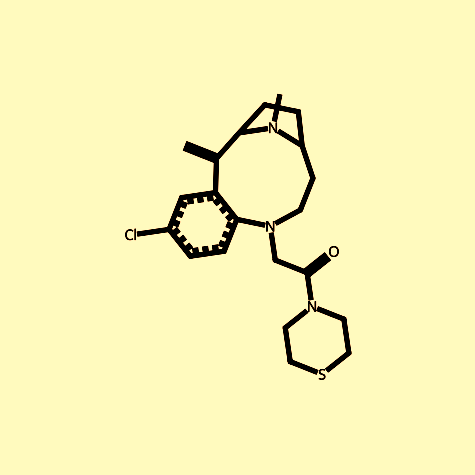 C=C1c2cc(Cl)ccc2N(CC(=O)N2CCSCC2)CCC2CCC1N2C